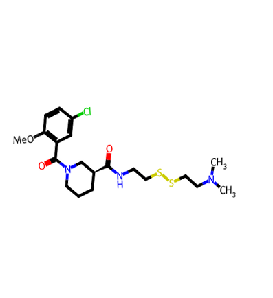 COc1ccc(Cl)cc1C(=O)N1CCC[C@H](C(=O)NCCSSCCN(C)C)C1